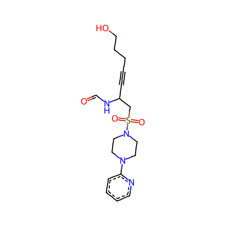 O=CNC(C#CCCCO)CS(=O)(=O)N1CCN(c2ccccn2)CC1